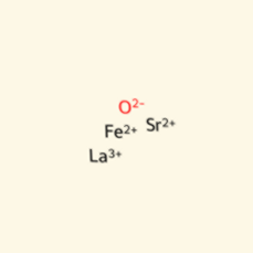 [Fe+2].[La+3].[O-2].[Sr+2]